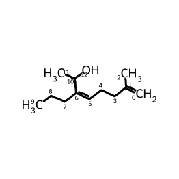 C=C(C)CCC=C(CCC)C(C)O